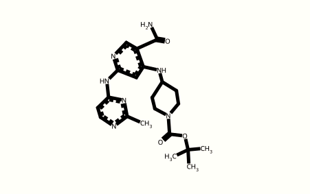 Cc1nccc(Nc2cc(NC3CCN(C(=O)OC(C)(C)C)CC3)c(C(N)=O)cn2)n1